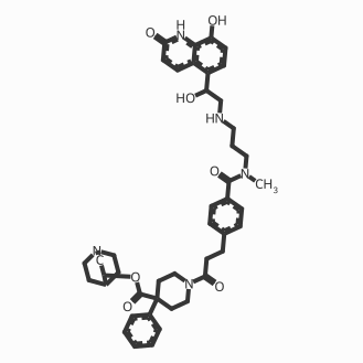 CN(CCCNCC(O)c1ccc(O)c2[nH]c(=O)ccc12)C(=O)c1ccc(CCC(=O)N2CCC(C(=O)OC3CN4CCC3CC4)(c3ccccc3)CC2)cc1